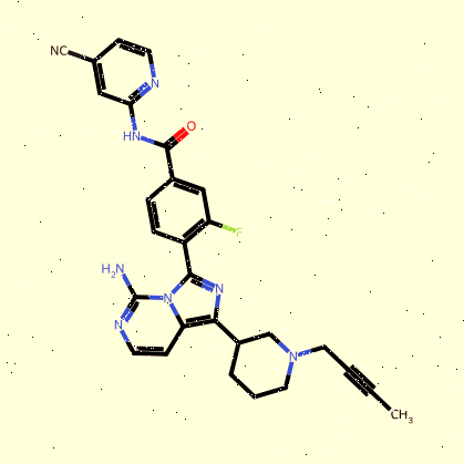 CC#CCN1CCCC(c2nc(-c3ccc(C(=O)Nc4cc(C#N)ccn4)cc3F)n3c(N)nccc23)C1